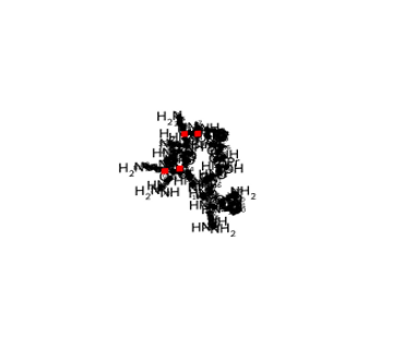 CC[C@H](C)[C@H](NC(=O)[C@H](Cc1ccccc1)NC(=O)[C@H](C)NC(=O)[C@H](CCCCN)NC(=O)[C@H](CCCCN)NC(=O)[C@H](Cc1c[nH]c2ccccc12)NC(=O)[C@H](CCCNC(=N)N)NC(=O)[C@H](CCCNC(=N)N)NC(=O)[C@@H](N)CCCCN)C(=O)N[C@@H](C)C(=O)N[C@H](C(=O)N[C@@H](CO)C(=O)N[C@@H](C)C(=O)N[C@@H](C)C(=O)N[C@@H](C)C(=O)N[C@@H](CCCNC(=N)N)C(=O)N[C@@H](Cc1ccccc1)C(=O)NCC(N)=O)C(C)C